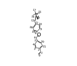 C=Cc1ccc(COc2ccc(/C=N/C(C)(C)C)cc2)cc1